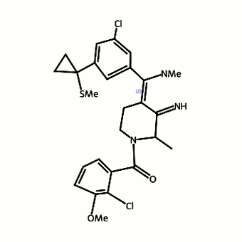 CN/C(=C1/CCN(C(=O)c2cccc(OC)c2Cl)C(C)C1=N)c1cc(Cl)cc(C2(SC)CC2)c1